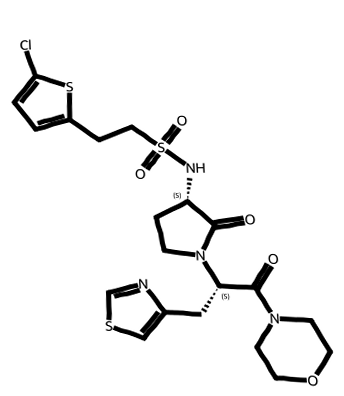 O=C([C@H](Cc1cscn1)N1CC[C@H](NS(=O)(=O)CCc2ccc(Cl)s2)C1=O)N1CCOCC1